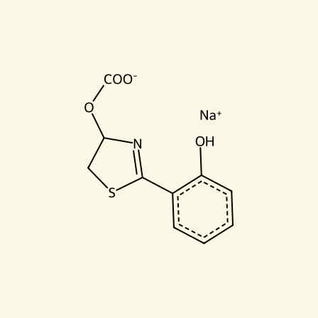 O=C([O-])OC1CSC(c2ccccc2O)=N1.[Na+]